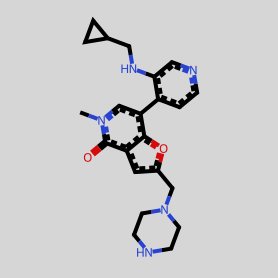 Cn1cc(-c2ccncc2NCC2CC2)c2oc(CN3CCNCC3)cc2c1=O